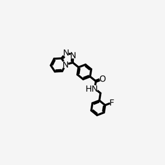 O=C(NCc1ccccc1F)c1ccc(-c2nnc3ccccn23)cc1